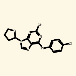 Oc1nc(Nc2ccc(Cl)cc2)c2ncn(C3CCCO3)c2n1